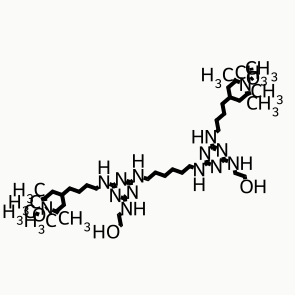 CON1C(C)(C)CC(CCCCNc2nc(NCCO)nc(NCCCCCCNc3nc(NCCO)nc(NCCCCC4CC(C)(C)N(OC)C(C)(C)C4)n3)n2)CC1(C)C